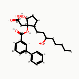 CCCCCC(O)CCC1CCC(O)C1(CC(=O)O)OC(=O)c1cccc(-c2ccccc2)c1